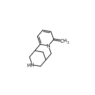 C=C1C=CC=C2C3CNCC(C3)CN12